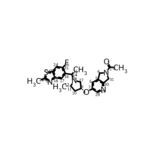 CC(=O)N1Cc2cc(O[C@@H]3C[C@H](C)N(C(C)c4cc5nc(C)sc5cc4F)C3)cnc2C1